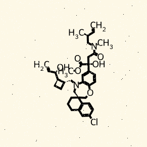 C=C[C@H](C)CN(C)C(=O)C[C@@](O)(C(=O)OC)c1ccc2c(c1)N(C[C@@H]1CC[C@H]1[C@@H](O)C=C)C[C@@]1(CCCc3cc(Cl)ccc31)CO2